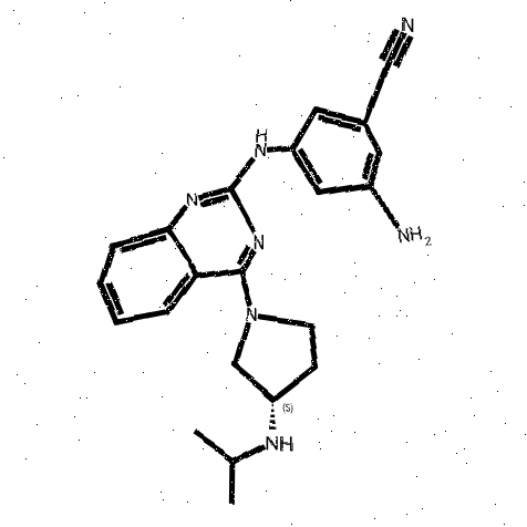 CC(C)N[C@H]1CCN(c2nc(Nc3cc(N)cc(C#N)c3)nc3ccccc23)C1